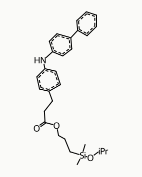 CC(C)O[Si](C)(C)CCCOC(=O)CCc1ccc(Nc2ccc(-c3ccccc3)cc2)cc1